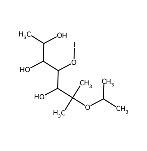 CC(C)OC(C)(C)C(O)C(OI)C(O)C(C)O